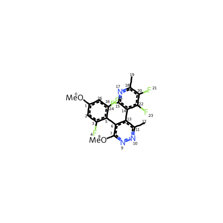 COc1cc(F)c(-c2c(OC)nnc(C)c2-c2c(F)nc(C)c(F)c2F)c(F)c1